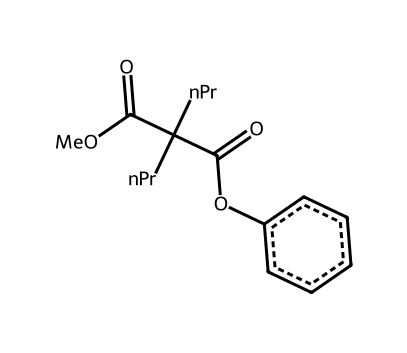 CCCC(CCC)(C(=O)OC)C(=O)Oc1ccccc1